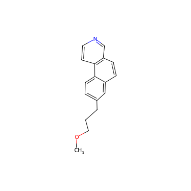 COCCCc1ccc2c(ccc3cnccc32)c1